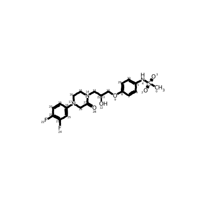 CS(=O)(=O)Nc1ccc(OC[C@@H](O)CN2CCN(c3ccc(F)c(F)c3)CC2=O)cc1